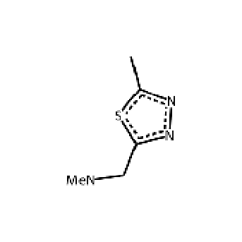 CNCc1nnc(C)s1